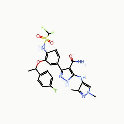 Cc1nn(C)cc1Nc1[nH]nc(-c2ccc(NS(=O)(=O)C(F)F)c(OC(C)c3ccc(F)cc3)c2)c1C(N)=O